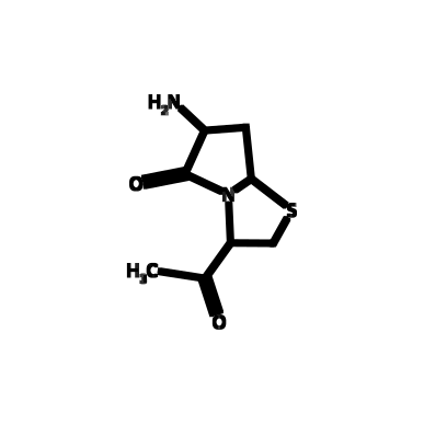 CC(=O)C1CSC2CC(N)C(=O)N21